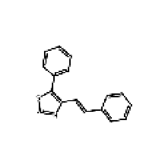 [c]1nc(/C=C/c2ccccc2)c(-c2ccccc2)s1